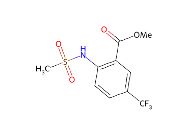 COC(=O)c1cc(C(F)(F)F)ccc1NS(C)(=O)=O